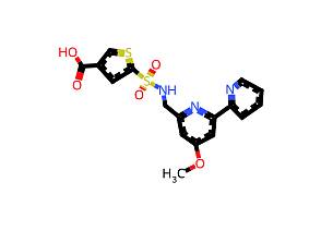 COc1cc(CNS(=O)(=O)c2cc(C(=O)O)cs2)nc(-c2ccccn2)c1